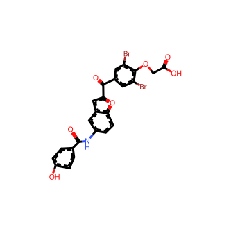 O=C(O)COc1c(Br)cc(C(=O)c2cc3cc(NC(=O)c4ccc(O)cc4)ccc3o2)cc1Br